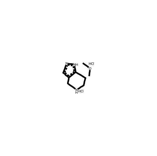 COC.Cl.Cl.c1n[nH]c2c1CNCC2